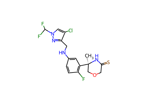 C[C@@]1(c2cc(NCc3nn(C(F)F)cc3Cl)ccc2F)COCC(=S)N1